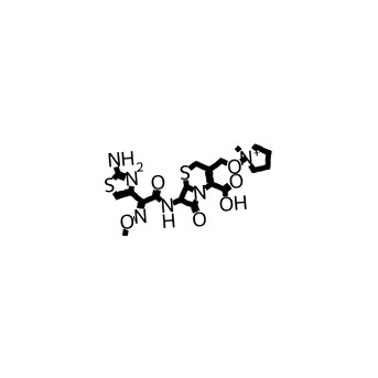 CON=C(C(=O)NC1C(=O)N2C(C(=O)O)=C(CO[N+]3(C)CCCC3)CSC12)c1csc(N)n1